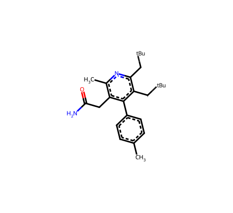 Cc1ccc(-c2c([CH]C(C)(C)C)c(CC(C)(C)C)nc(C)c2CC(N)=O)cc1